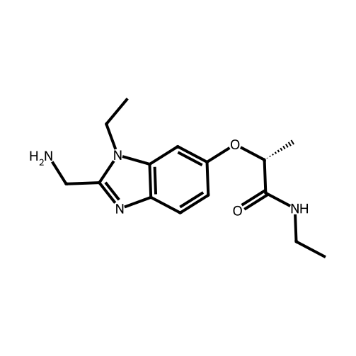 CCNC(=O)[C@@H](C)Oc1ccc2nc(CN)n(CC)c2c1